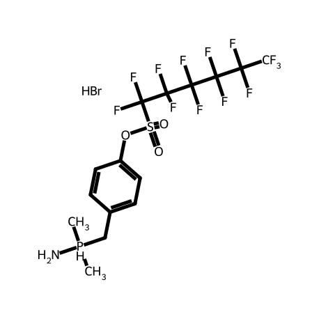 Br.C[PH](C)(N)Cc1ccc(OS(=O)(=O)C(F)(F)C(F)(F)C(F)(F)C(F)(F)C(F)(F)C(F)(F)F)cc1